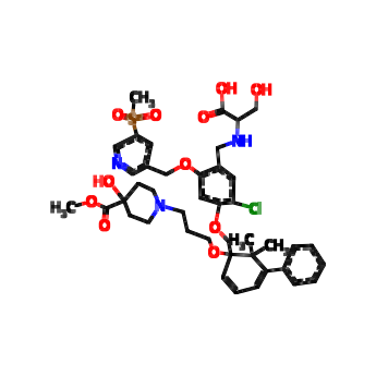 COC(=O)C1(O)CCN(CCCOC2(COc3cc(OCc4cncc(S(C)(=O)=O)c4)c(CNC(CO)C(=O)O)cc3Cl)C=CC=C(c3ccccc3)C2(C)C)CC1